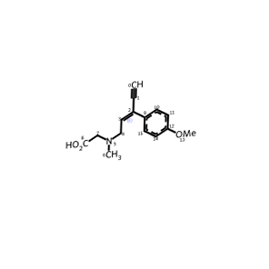 C#C/C(=C/CN(C)CC(=O)O)c1ccc(OC)cc1